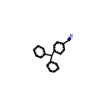 N#Cc1ccc(C(c2ccccc2)c2ccccc2)cc1